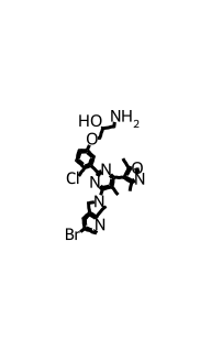 Cc1noc(C)c1-c1nc(-c2cc(OC[C@H](O)CN)ccc2Cl)nc(N2Cc3cc(Br)cnc3C2)c1C